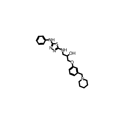 OC(CNc1nnc(Nc2ccccc2)s1)COc1cccc(CN2CCCCC2)c1